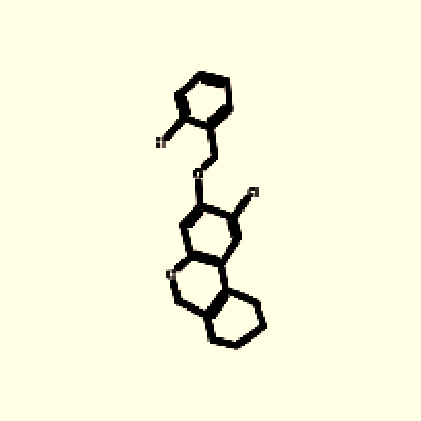 Clc1ccccc1COc1cc2c(cc1Cl)C1=C(CCCC1)CO2